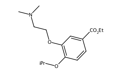 CCOC(=O)c1ccc(OC(C)C)c(OCCN(C)C)c1